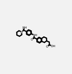 N=C(c1ccc(NC(=O)c2ccc3c(c2)CCC(CC(=O)O)C3)cc1)N1CCCCC1